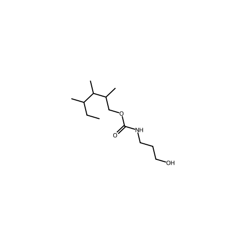 CCC(C)C(C)C(C)COC(=O)NCCCO